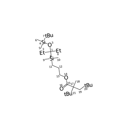 CCC(CC)(O[Si](C)(C)C(C)(C)C)[Si](C)(C)CCCOC(=O)C(C)(CC(C)(C)C)C(C)(C)C